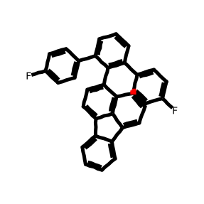 Fc1ccc(-c2cccc(-c3ccc(F)cc3)c2-c2ccc3c4c(cccc24)-c2ccccc2-3)cc1